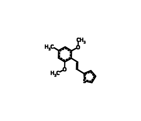 COc1cc(C)cc(OC)c1/C=C/c1cccs1